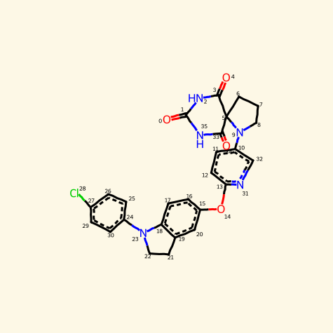 O=C1NC(=O)C2(CCCN2c2ccc(Oc3ccc4c(c3)CCN4c3ccc(Cl)cc3)nc2)C(=O)N1